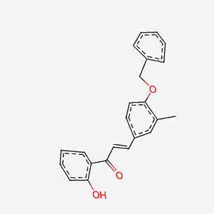 Cc1cc(/C=C/C(=O)c2ccccc2O)ccc1OCc1ccccc1